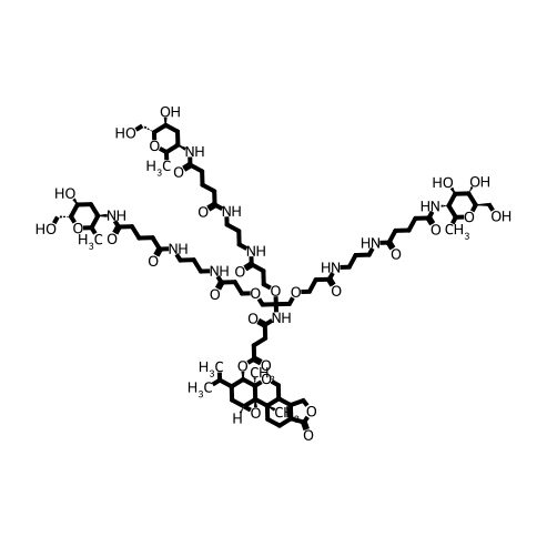 CC(C)C1C[C@@H]2O[C@@]23[C@@]2(C)CCC4=C(COC4=O)C2CO[C@]3(C)[C@@H]1OC(=O)CCC(=O)NC(COCCC(=O)NCCCNC(=O)CCCC(=O)N[C@@H]1C[C@H](O)[C@@H](CO)OC1C)(COCCC(=O)NCCCNC(=O)CCCC(=O)N[C@H]1C(C)O[C@H](CO)[C@@H](O)[C@@H]1O)OCCC(=O)NCCCNC(=O)CCCC(=O)N[C@@H]1C[C@H](O)[C@@H](CO)OC1C